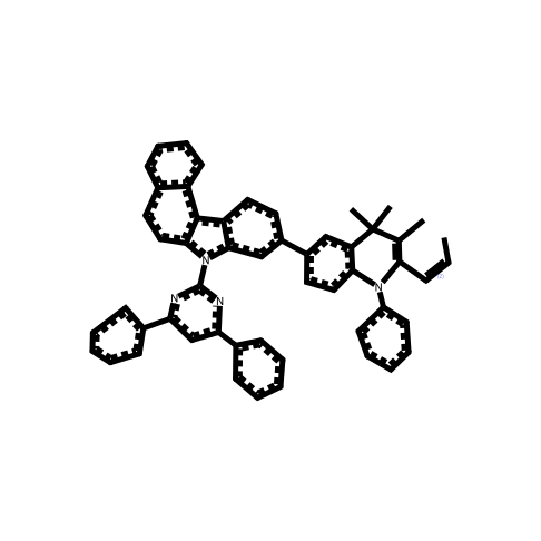 C/C=C\C1=C(C)C(C)(C)c2cc(-c3ccc4c5c6ccccc6ccc5n(-c5nc(-c6ccccc6)cc(-c6ccccc6)n5)c4c3)ccc2N1c1ccccc1